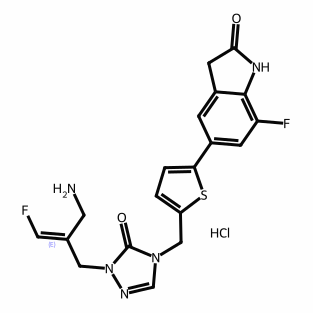 Cl.NC/C(=C\F)Cn1ncn(Cc2ccc(-c3cc(F)c4c(c3)CC(=O)N4)s2)c1=O